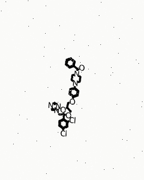 O=C(c1ccccc1)N1CCN(c2ccc(OCC3COC(Cn4cncn4)(c4ccc(Cl)cc4Cl)O3)cc2)CC1